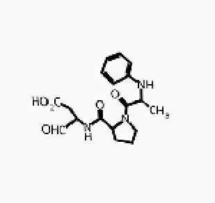 C[C@H](Nc1ccccc1)C(=O)N1CCCC1C(=O)NC(C=O)CC(=O)O